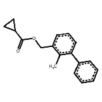 Cc1c(COC(=O)C2CC2)cccc1-c1ccccc1